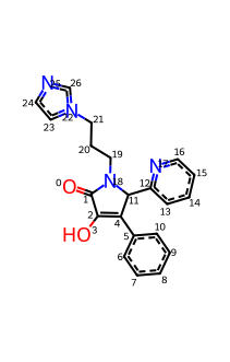 O=C1C(O)=C(c2ccccc2)C(c2ccccn2)N1CCCn1ccnc1